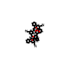 N#Cc1cccc(-c2ccc3c4ccc(-c5cccc(C#N)c5)cc4n(-c4c(-c5cc(-c6ccccc6)nc(-c6ccccc6)n5)cc(C#N)cc4-c4nc(-c5ccccc5)cc(-c5ccccc5)n4)c3c2)c1